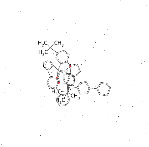 CC(C)(C)c1ccc2c(c1)C1(c3cc(C(C)(C)C)ccc3S2)c2ccccc2-c2ccc(-c3ccccc3N(c3ccc(-c4ccccc4)cc3)c3cccc4ccccc34)cc21